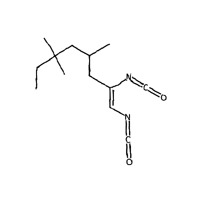 CCC(C)(C)CC(C)CC(=CN=C=O)N=C=O